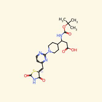 CC(C)(C)OC(=O)NC(CC(=O)O)C1CCN(c2nccc(/C=C3\SC(=O)NC3=O)n2)CC1